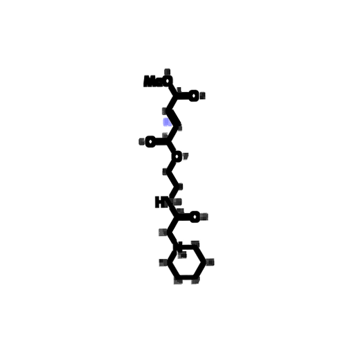 COC(=O)/C=C/C(=O)OCCNC(=O)CN1CCCCC1